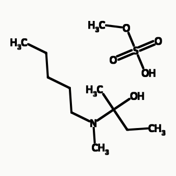 CCCCCN(C)C(C)(O)CC.COS(=O)(=O)O